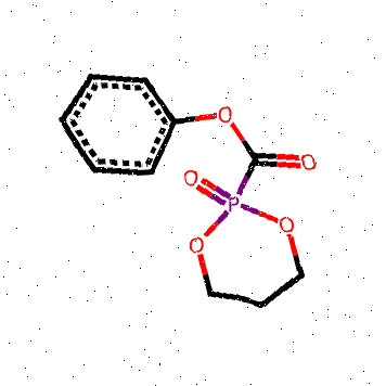 O=C(Oc1ccccc1)P1(=O)OCCCO1